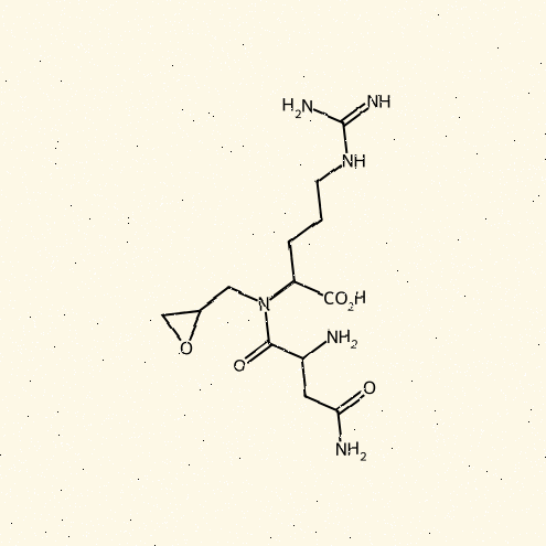 N=C(N)NCCCC(C(=O)O)N(CC1CO1)C(=O)C(N)CC(N)=O